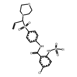 C=CC(N1CCOCC1)S(=O)(=O)c1ccc(NC(=O)c2cc(Cl)ccc2NS(=O)(=O)CC)cc1